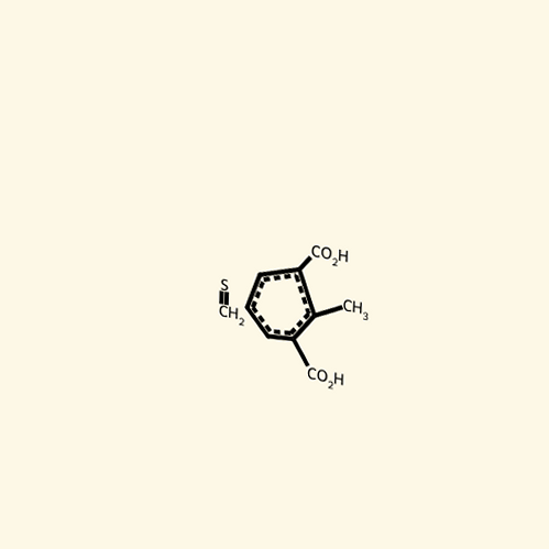 C=S.Cc1c(C(=O)O)cccc1C(=O)O